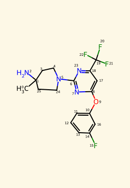 CC1(N)CCN(c2nc(Oc3cccc(F)c3)cc(C(F)(F)F)n2)CC1